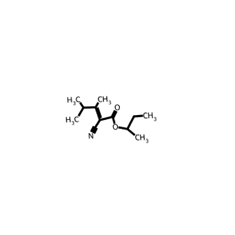 CCC(C)OC(=O)/C(C#N)=C(\C)C(C)C